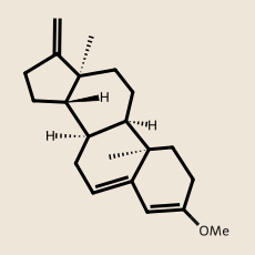 C=C1CC[C@H]2[C@@H]3CC=C4C=C(OC)CC[C@]4(C)[C@@H]3CC[C@]12C